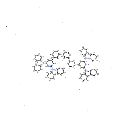 c1cc(-c2cccc(-c3cc(-n4c5ccccc5c5ccccc54)nc(-n4c5ccccc5c5ccccc54)c3)c2)cc(-c2cccc(-c3cc(-n4c5ccccc5c5ccccc54)nc(-n4c5ccccc5c5ccccc54)c3)c2)c1